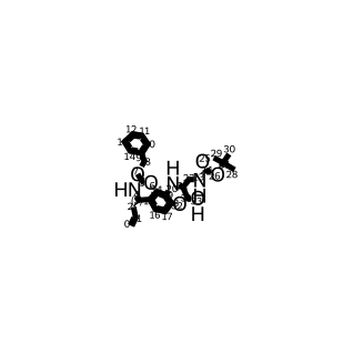 C=CC[C@H](NC(=O)OCc1ccccc1)c1cccc(NC(CNC(=O)OC(C)(C)C)C(=O)O)c1